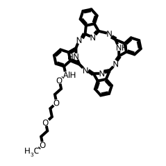 COCCOCCOCC[O][AlH][c]1cccc2c3nc4nc(nc5[nH]c(nc6nc(nc([nH]3)c12)-c1ccccc1-6)c1ccccc51)-c1ccccc1-4